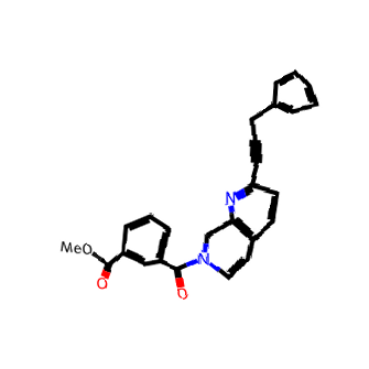 COC(=O)c1cccc(C(=O)N2C=Cc3ccc(C#CCc4ccccc4)nc3C2)c1